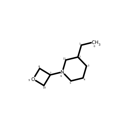 CCC1CCCN(C2COC2)C1